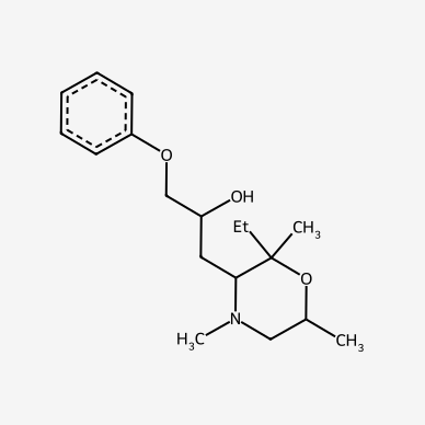 CCC1(C)OC(C)CN(C)C1CC(O)COc1ccccc1